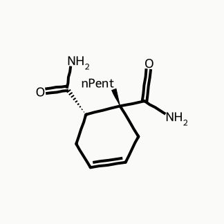 CCCCC[C@@]1(C(N)=O)CC=CC[C@@H]1C(N)=O